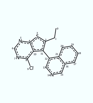 CCc1sc2ncnc(Cl)c2c1-c1cncc2ccccc12